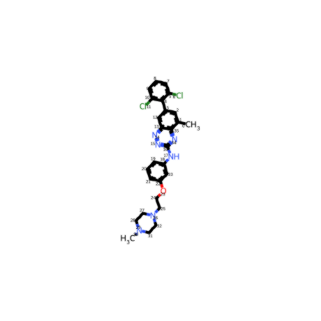 Cc1cc(-c2c(Cl)cccc2Cl)cc2nnc(Nc3cccc(OCCN4CCN(C)CC4)c3)nc12